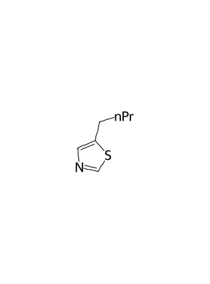 [CH2]CCCc1cncs1